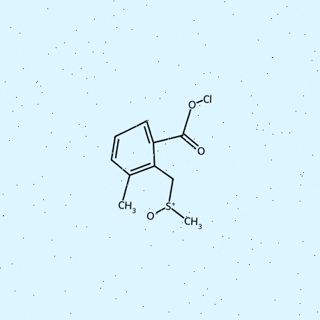 Cc1cccc(C(=O)OCl)c1C[S+](C)[O-]